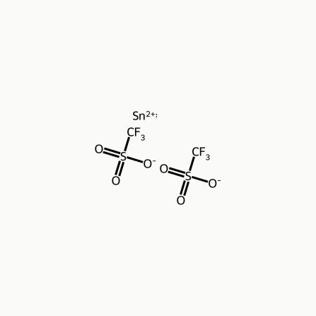 O=S(=O)([O-])C(F)(F)F.O=S(=O)([O-])C(F)(F)F.[Sn+2]